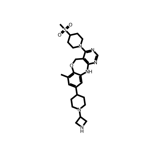 Cc1cc(C2CCN(C3CNC3)CC2)cc2c1OCc1c(ncnc1N1CCC(S(C)(=O)=O)CC1)N2